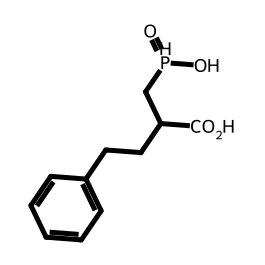 O=C(O)C(CCc1ccccc1)C[PH](=O)O